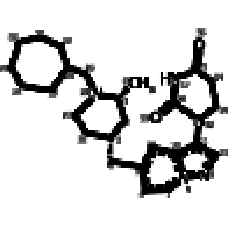 C[C@H]1C[C@H](Cc2ccn3ncc(N4CCC(=O)NC4=O)c3c2)CCN1CC1CCCCCC1